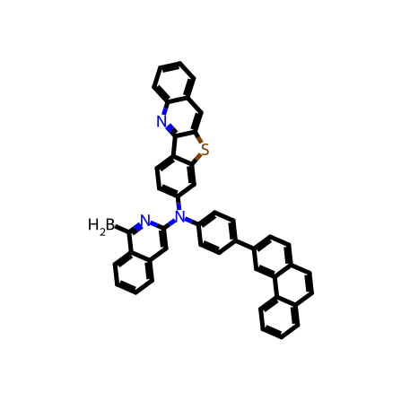 Bc1nc(N(c2ccc(-c3ccc4ccc5ccccc5c4c3)cc2)c2ccc3c(c2)sc2cc4ccccc4nc23)cc2ccccc12